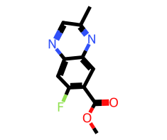 COC(=O)c1cc2nc(C)cnc2cc1F